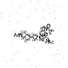 CC(=O)N1CCC2(CC1)N=C(c1ccc(C3=CC4CCN(C(C)=O)CC4C=C3)cc1)N(C[C@@H]1CCN(C(=O)C3CC3)C1)C2=O